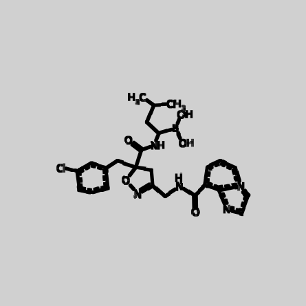 CC(C)CC(NC(=O)C1(Cc2cccc(Cl)c2)CC(CNC(=O)c2cccn3ccnc23)=NO1)B(O)O